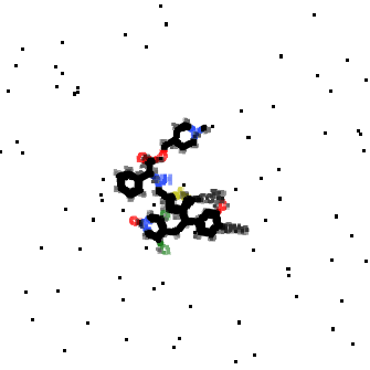 CCOc1cc(C(Cc2c(Cl)c[n+]([O-])cc2Cl)c2cc(CNC(C(=O)OCC3CCN(C)CC3)c3ccccc3)sc2C(=O)O)ccc1OC